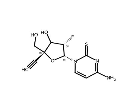 C#C[C@]1(CO)O[C@@H](n2ccc(N)nc2=S)[C@@H](F)C1O